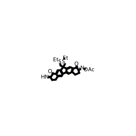 CCSCC1(CSCC)c2cc3c(cc2-c2cc4c(cc21)C(=O)/C(=N/OC(C)=O)CC4)CCC(=N)C3=O